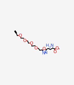 C#CCOCCOCCOCCOCCc1nnc(CC[C@H](N)C(=O)OC)o1